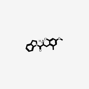 COc1cc(C)c(CC(N)C(=O)N2CCc3ccccc32)c(Cl)c1